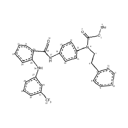 CC(C)(C)OC(=O)N(CCc1ccccn1)c1ccc(NC(=O)c2ccccc2Nc2cccc(C(F)(F)F)c2)cc1